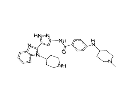 CN1CCC(Nc2ccc(C(=O)Nc3cc(-c4nc5ccccc5n4C4CCNCC4)[nH]n3)cc2)CC1